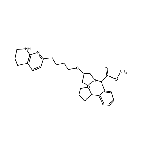 COC(=O)C(c1ccccc1C1CCCO1)N1CCC(OCCCCc2ccc3c(n2)NCCC3)C1